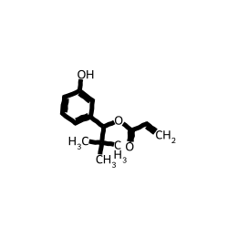 C=CC(=O)OC(c1cccc(O)c1)C(C)(C)C